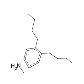 CCCCc1ccccc1CCCC.CN